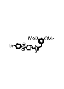 COc1cc(Cc2csc(N3CCC(S(=O)(=O)c4ccc(Br)cc4)CC3)n2)cc(OC)c1